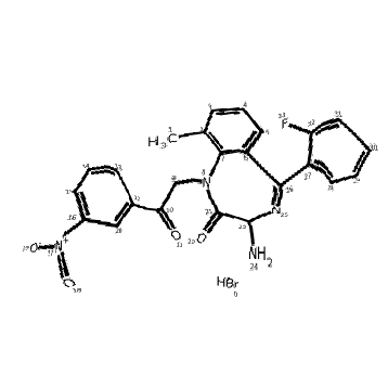 Br.Cc1cccc2c1N(CC(=O)c1cccc([N+](=O)[O-])c1)C(=O)C(N)N=C2c1ccccc1F